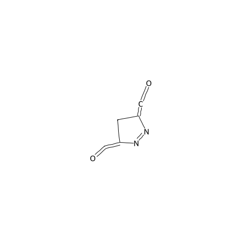 O=C=C1CC(=C=O)N=N1